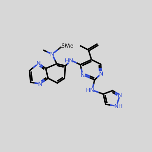 C=C(C)c1cnc(Nc2cn[nH]c2)nc1Nc1ccc2nccnc2c1N(C)SC